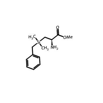 COC(=O)[C@@H](N)C[Si](C)(C)Cc1ccccc1